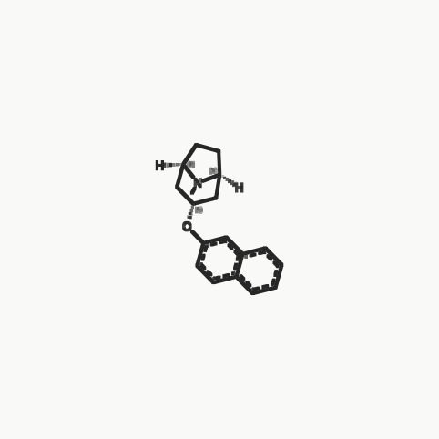 CN1[C@@H]2CC[C@H]1C[C@H](Oc1ccc3ccccc3c1)C2